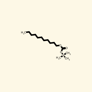 CCCCCCCCCCCOC(=O)O[Si](C)(C)C